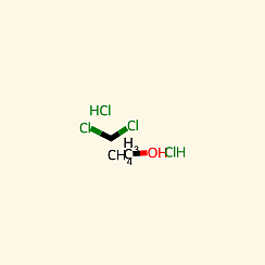 C.CO.Cl.Cl.ClCCl